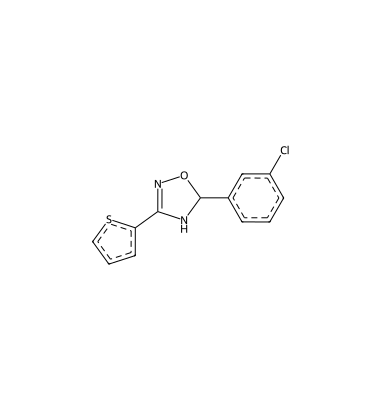 Clc1cccc(C2NC(c3cccs3)=NO2)c1